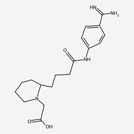 N=C(N)c1ccc(NC(=O)CCCC2CCCCN2CC(=O)O)cc1